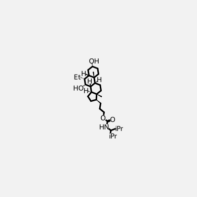 CC[C@H]1[C@@H](O)[C@@H]2[C@H](CC[C@]3(C)[C@@H](CCCOC(=O)NC(C(C)C)C(C)C)CC[C@@H]23)[C@@]2(C)CC[C@@H](O)C[C@@H]12